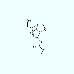 C=C(C)C(=O)OC1C2OC3C(COC31)C2CO